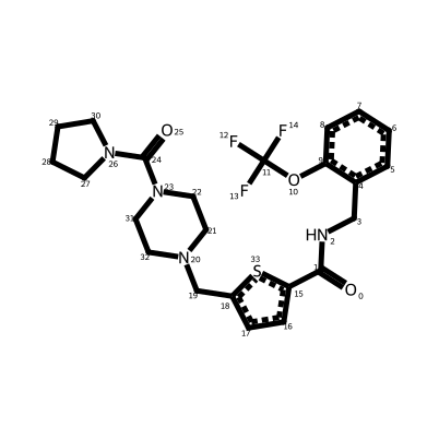 O=C(NCc1ccccc1OC(F)(F)F)c1ccc(CN2CCN(C(=O)N3CCCC3)CC2)s1